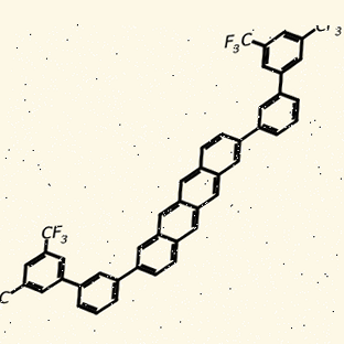 FC(F)(F)c1cc(-c2cccc(-c3ccc4cc5cc6cc(-c7cccc(-c8cc(C(F)(F)F)cc(C(F)(F)F)c8)c7)ccc6cc5cc4c3)c2)cc(C(F)(F)F)c1